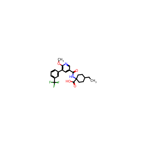 CCC1CCC(NC(=O)c2cnc(OC)c(-c3cccc(C(F)(F)F)c3)c2)(C(=O)O)CC1